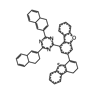 C1=CC2=CC(c3nc(C4=CC5C=CC=CC5CC4)nc(-c4cc(C5=CCCc6c5sc5ccccc65)cc5oc6ccccc6c45)n3)=CCC2C=C1